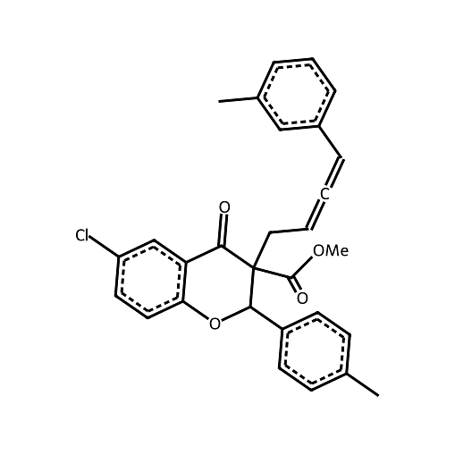 COC(=O)C1(CC=C=Cc2cccc(C)c2)C(=O)c2cc(Cl)ccc2OC1c1ccc(C)cc1